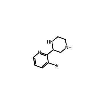 Brc1cccnc1C1CNCCN1